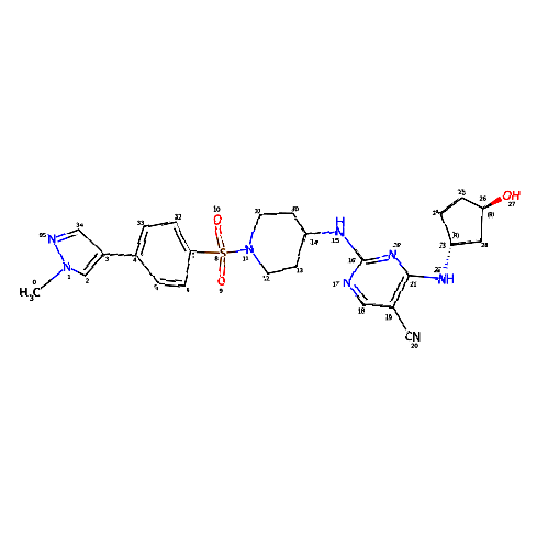 Cn1cc(-c2ccc(S(=O)(=O)N3CCC(Nc4ncc(C#N)c(N[C@@H]5CC[C@@H](O)C5)n4)CC3)cc2)cn1